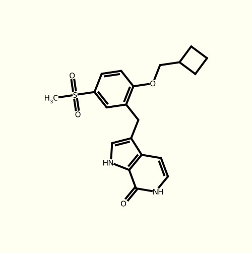 CS(=O)(=O)c1ccc(OCC2CCC2)c(Cc2c[nH]c3c(=O)[nH]ccc23)c1